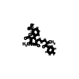 CC1=C(C(=O)O)C(c2cccc([N+](=O)[O-])c2)N(CCCN(C)C(=O)c2ccc(F)cc2)C(=O)N1